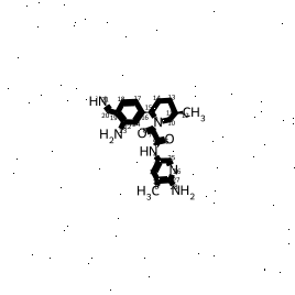 Cc1cc(NC(=O)C(=O)N2C[C@H](C)CC[C@H]2c2ccc(C=N)c(N)c2)cnc1N